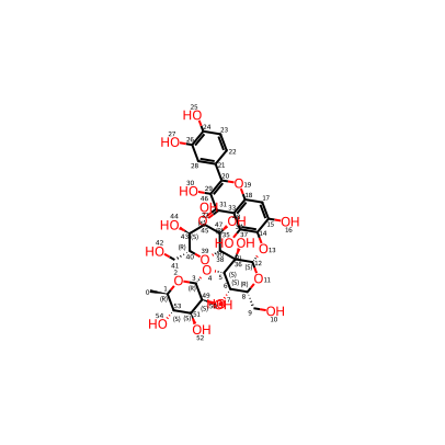 C[C@H]1O[C@H](O[C@H]2[C@@H](O)[C@@H](CO)O[C@@H](Oc3c(O)cc4oc(-c5ccc(O)c(O)c5)c(O)c(=O)c4c3O)[C@@]2(O)[C@@H]2O[C@H](CO)[C@@H](O)[C@H](O)[C@H]2O)[C@@H](O)[C@@H](O)[C@@H]1O